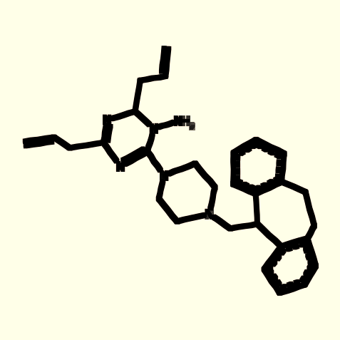 C=CCC1=NC(CC=C)N(N)C(N2CCN(CC3c4ccccc4CCc4ccccc43)CC2)=N1